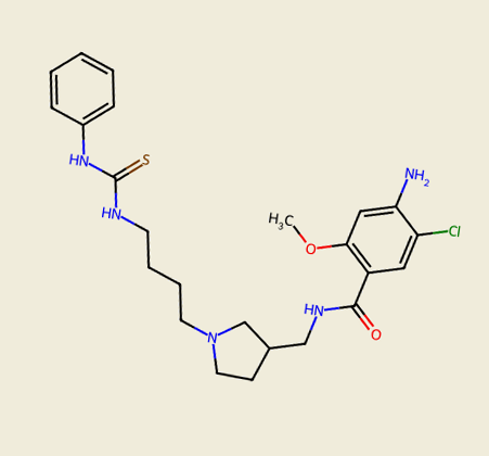 COc1cc(N)c(Cl)cc1C(=O)NCC1CCN(CCCCNC(=S)Nc2ccccc2)C1